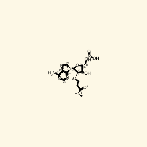 CNC(=O)CCO[C@H]1C(O)[C@@H](CO[PH](=O)O)O[C@H]1n1cnc2c(N)ncnc21